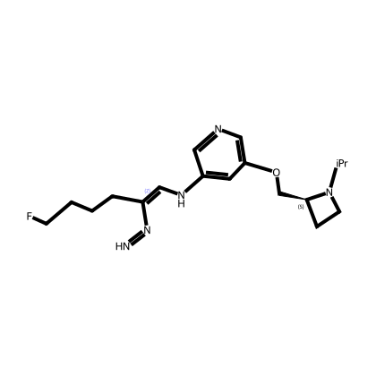 CC(C)N1CC[C@H]1COc1cncc(N/C=C(/CCCCF)N=N)c1